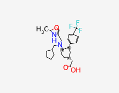 CC1NC(CN(CC2CCCC2)[C@@H]2CC[C@@H](CC(=O)O)C[C@H]2c2ccc(C(F)(F)F)cc2)=CO1